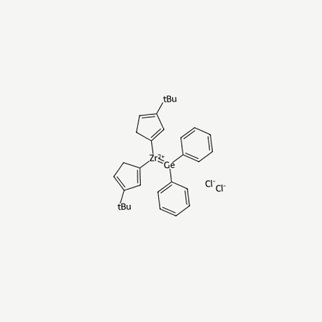 CC(C)(C)C1=CC[C]([Zr+2]([C]2=CC(C(C)(C)C)=CC2)=[Ge]([c]2ccccc2)[c]2ccccc2)=C1.[Cl-].[Cl-]